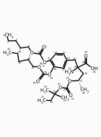 CCCCCOC(=O)Oc1ccc(CC(N)(C[C@H](C)OC(=O)OC(C)(C)CC)C(=O)O)cc1OC(=O)OCCCCC